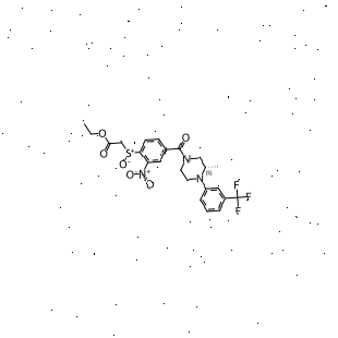 CCOC(=O)C[S+]([O-])c1ccc(C(=O)N2CCN(c3cccc(C(F)(F)F)c3)[C@@H](C)C2)cc1[N+](=O)[O-]